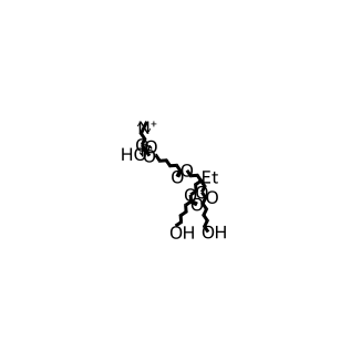 CCC(CCOC(=O)CCCCCO)(CCOC(=O)CCCCCOP(=O)(O)OCC[N+](C)(C)C)COC(=O)CCCCCO